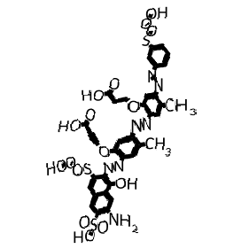 Cc1cc(N=Nc2cc(OC#CC(=O)O)c(N=Nc3c(SOOO)cc4cc(S(=O)(=O)O)c(N)cc4c3O)cc2C)c(OCCC(=O)O)cc1N=Nc1cccc(SOOO)c1